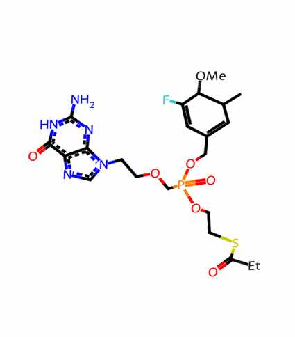 CCC(=O)SCCOP(=O)(COCCn1cnc2c(=O)[nH]c(N)nc21)OCC1=CC(C)C(OC)C(F)=C1